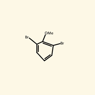 [CH2]Oc1c(Br)cccc1Br